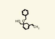 C=CC1=CC=CC(CO)(OCc2ccccc2)C1